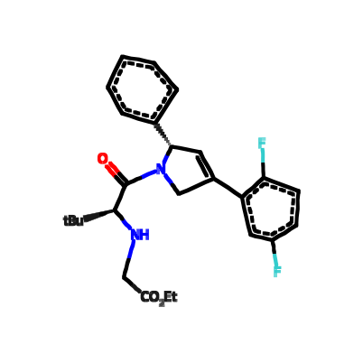 CCOC(=O)CN[C@H](C(=O)N1CC(c2cc(F)ccc2F)=C[C@H]1c1ccccc1)C(C)(C)C